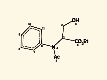 CCOC(=O)C(CO)N(C(C)=O)c1ccccc1